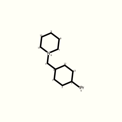 CC(C)C1CCC(CN2CCCCC2)CC1